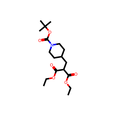 CCOC(=O)C(CC1CCN(C(=O)OC(C)(C)C)CC1)C(=O)OCC